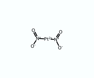 O=[N+]([O-])[Pt+2][N+](=O)[O-]